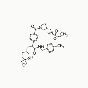 C=CS(=O)(=O)NCC1CCN(C(=O)c2ccc(C(CC3CCC4(COC4)NC3)C(=O)NCc3ccc(C(F)(F)F)cc3)cc2)C1